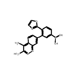 Nc1c(C(=O)O)nnc2cc(-c3cc(B(O)O)ccc3-c3ncco3)ccc12